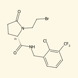 O=C(NCc1cccc(C(F)(F)F)c1Cl)[C@@H]1CCC(=O)N1CCBr